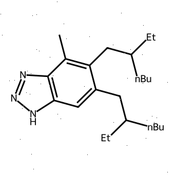 CCCCC(CC)Cc1cc2[nH]nnc2c(C)c1CC(CC)CCCC